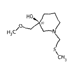 COC[C@]1(O)CCCN(CSC)C1